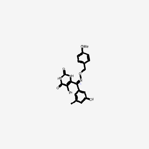 COc1ccc(CO/N=C(/c2cc(C)cc(C#N)c2)c2[nH]c(=O)[nH]c(=O)c2C(C)C)cc1